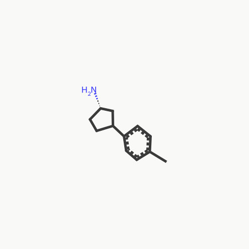 Cc1ccc(C2CC[C@H](N)C2)cc1